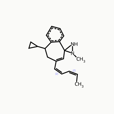 C/C=C\C=C/C1=CC2(NN2C)c2ccccc2C(C2CC2)C1